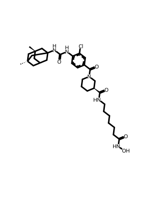 C[C@]12CC3CC(NC(=O)Nc4ccc(C(=O)N5CCC[C@H](C(=O)NCCCCCCC(=O)NO)C5)cc4Cl)(C1)C[C@@](C)(C3)C2